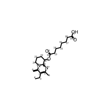 C=C1C(CC)=C(C)N=C2C(OC(=O)CCCCCCC(=O)O)CCCN12